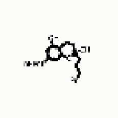 CCCCCc1cc(O)c2c(c1)O[C@@](C)(CCCC(C)C)CC2